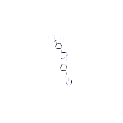 CC(C)c1nccn1CCc1ccc(Nc2ncc(Cl)c(-c3ccc(C(C)(C)N)cc3)n2)cc1